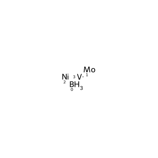 B.[Mo].[Ni].[V]